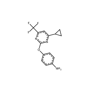 Nc1ccc(Oc2nc(C3CC3)cc(C(F)(F)F)n2)cc1